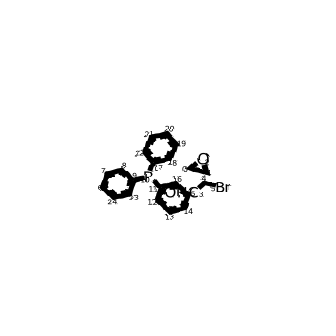 C1CO1.O=CCBr.c1ccc(P(c2ccccc2)c2ccccc2)cc1